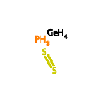 P.S=S.[GeH4]